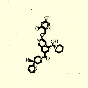 N#CC1(c2ccccn2)CCN(C(=O)c2cc(C(O)N3CCCCC3)c3cc(OCc4ncc(Cl)cc4Cl)ncc3c2)CC1